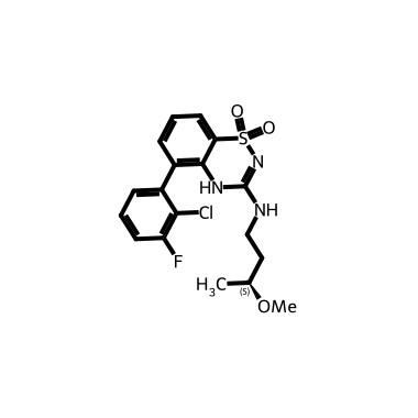 CO[C@@H](C)CCNC1=NS(=O)(=O)c2cccc(-c3cccc(F)c3Cl)c2N1